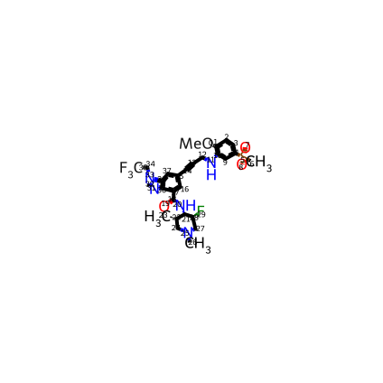 COc1ccc(S(C)(=O)=O)cc1NCC#Cc1cc(C(=O)N[C@@H]2[C@@H](C)CN(C)C[C@@H]2F)c2ncn(CC(F)(F)F)c2c1